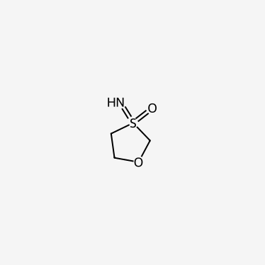 N=S1(=O)CCOC1